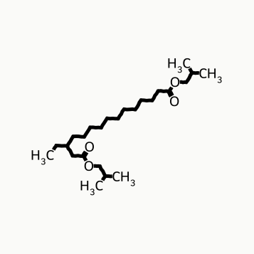 CCC(CCCCCCCCCCCC(=O)OCC(C)C)CC(=O)OCC(C)C